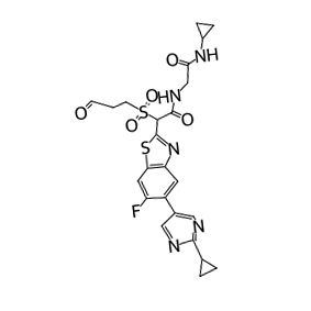 O=CCCS(=O)(=O)C(C(=O)NCC(=O)NC1CC1)c1nc2cc(-c3cnc(C4CC4)nc3)c(F)cc2s1